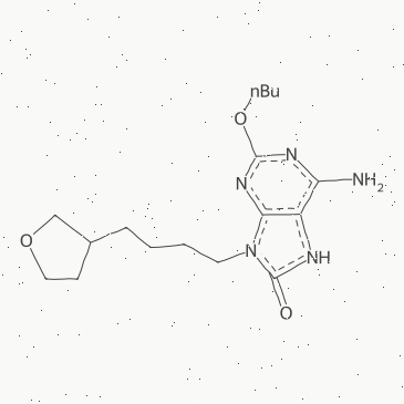 CCCCOc1nc(N)c2[nH]c(=O)n(CCCCC3CCOC3)c2n1